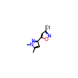 CCc1cc(-c2cc(C)n(C)n2)on1